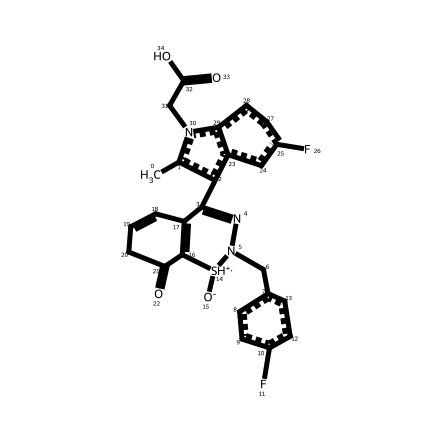 Cc1c(C2=NN(Cc3ccc(F)cc3)[SH+]([O-])C3=C2C=CCC3=O)c2cc(F)ccc2n1CC(=O)O